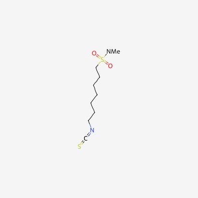 CNS(=O)(=O)CCCCCCCN=C=S